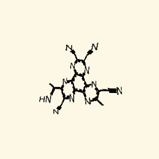 CC(=N)c1nc2c3nc(C#N)c(C#N)nc3c3nc(C#N)c(C)nc3c2nc1C#N